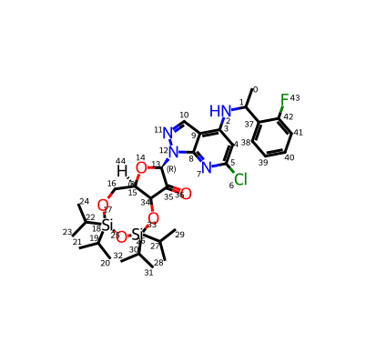 CC(Nc1cc(Cl)nc2c1cnn2[C@@H]1O[C@@H]2CO[Si](C(C)C)(C(C)C)O[Si](C(C)C)(C(C)C)OC2C1=O)c1ccccc1F